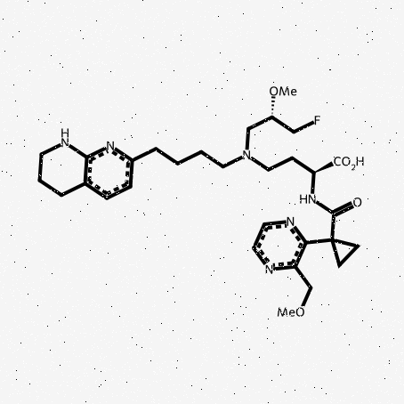 COCc1nccnc1C1(C(=O)N[C@@H](CCN(CCCCc2ccc3c(n2)NCCC3)C[C@@H](CF)OC)C(=O)O)CC1